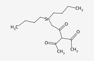 CCC[CH2][Sn]([CH2]CCC)[CH2]C(=O)C(C(C)=O)C(C)=O